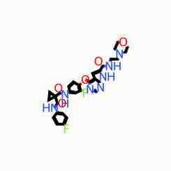 O=C(NCCN1CCOCC1)c1cc2c(Oc3ccc(NC(=O)C4(C(=O)Nc5ccc(F)cc5)CC4)cc3F)ncnc2[nH]1